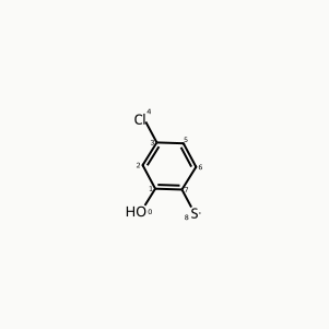 Oc1cc(Cl)ccc1[S]